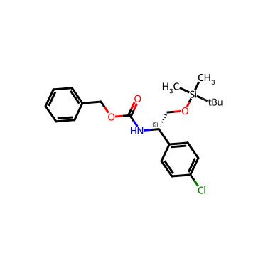 CC(C)(C)[Si](C)(C)OC[C@@H](NC(=O)OCc1ccccc1)c1ccc(Cl)cc1